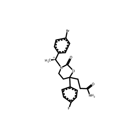 C[C@@H](c1ccc(Br)cc1)N1CCC(CCC(N)=O)(c2ccc(F)cc2)OC1=O